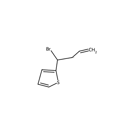 C=C[CH]C(Br)c1cccs1